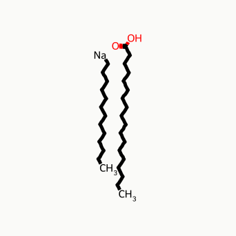 CCCCCCCCCCCCCCCCCC(=O)O.CCCCCCCCCCCC[CH2][Na]